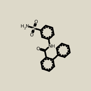 NS(=O)(=O)c1cccc(NC(=O)c2ccccc2-c2ccccc2)c1